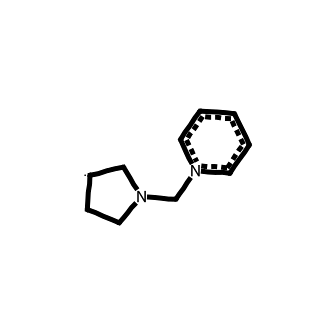 [CH]1CCN(C[n+]2ccccc2)C1